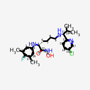 Cc1cc(N[C@H](CCCCN[C@@H](c2ccc(Cl)cn2)C(C)C)C(=O)NO)cc(C)c1F